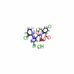 Cl.O=C(O)c1cc(Cl)cc(Cl)c1N(C(=O)c1cc(Br)nn1-c1ncccc1Cl)C1CC1